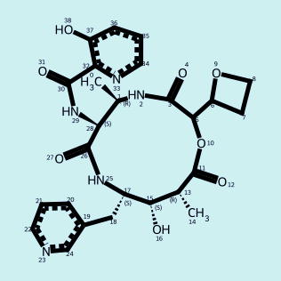 C[C@H]1NC(=O)C(C2CCO2)OC(=O)[C@H](C)[C@H](O)[C@H](Cc2cccnc2)NC(=O)[C@H]1NC(=O)c1ncccc1O